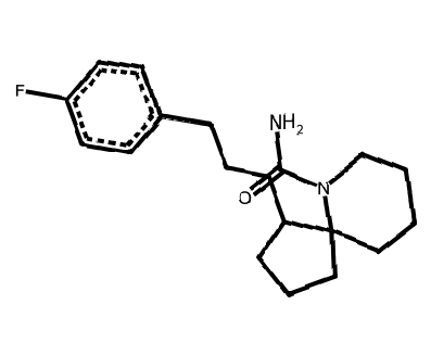 NC(=O)N1CCCCC12CCCC2CCCc1ccc(F)cc1